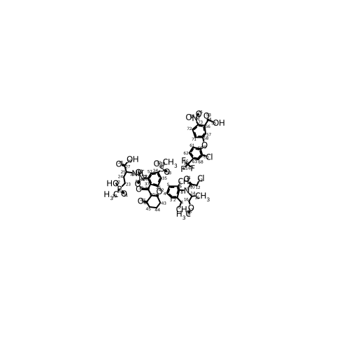 CCc1cccc(C)c1N(C(=O)CCl)C(C)COC.CP(=O)(O)CCC(N)C(=O)O.CS(=O)(=O)c1ccc(C(=O)C2C(=O)CCCC2=O)c([N+](=O)[O-])c1.O=C(O)c1cc(Oc2ccc(C(F)(F)F)cc2Cl)ccc1[N+](=O)[O-]